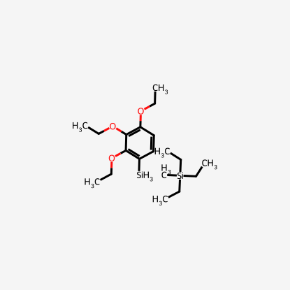 CCOc1ccc([SiH3])c(OCC)c1OCC.CC[Si](C)(CC)CC